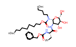 CCCCCCCCCCCCCCCCCCOC(=O)N(CCCCCCCCCCCCCC)[C@@H]1O[C@H](CO)[C@@H](O)[C@H](O)[C@H]1NC(=O)[C@H](CC(C)C)NC(=O)OCc1ccccc1